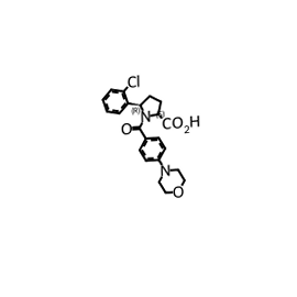 O=C(O)[C@@H]1CC[C@H](c2ccccc2Cl)N1C(=O)c1ccc(N2CCOCC2)cc1